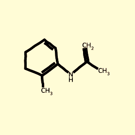 C=C(C)NC1=C(C)CCC=C1